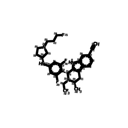 C#Cc1ccc2c3c([nH]c2c1)[C@@H](c1c(F)cc(N[C@H]2CCN(CCCF)C2)cc1F)N(CC(F)(F)F)[C@H](C)C3